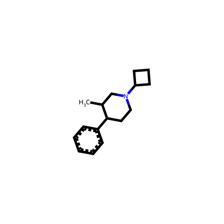 CC1CN(C2CCC2)CCC1c1ccccc1